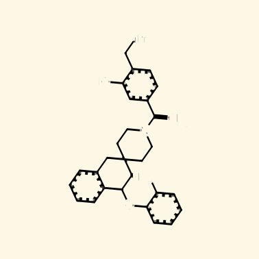 C=C(c1ccc(CC(C)C)c(O)c1)N1CCC2(CC1)Cc1ccccc1C(Oc1ccccc1C)C2